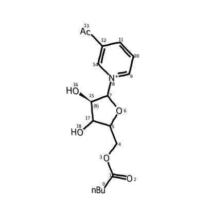 CCCCC(=O)OCC1OC([n+]2cccc(C(C)=O)c2)[C@H](O)C1O